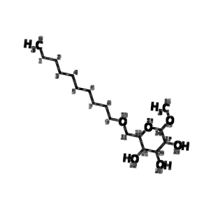 CCCCCCCCCCOCC1OC(OC)C(O)C(O)C1O